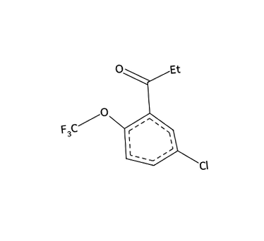 CCC(=O)c1cc(Cl)ccc1OC(F)(F)F